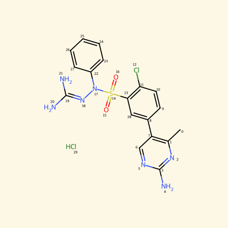 Cc1nc(N)ncc1-c1ccc(Cl)c(S(=O)(=O)N(N=C(N)N)c2ccccc2)c1.Cl